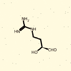 N=C(N)NCC[C@H](O)C=O